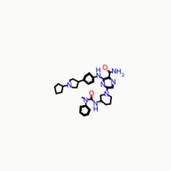 CN(C(=O)N[C@@H]1CCCN(c2cnc(C(N)=O)c(Nc3ccc(C4CCN(C5CCCC5)CC4)cc3)n2)C1)c1ccccc1